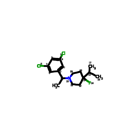 CC(c1cc(Cl)cc(Cl)c1)N1CCC(F)(C(C)C)CC1